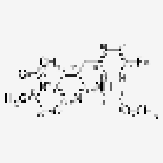 COCCNc1nc2c(cc1Cc1ccc(F)cc1)N(C(C)=O)C(C)CO2